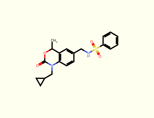 CC1OC(=O)N(CC2CC2)c2ccc(CNS(=O)(=O)c3ccccc3)cc21